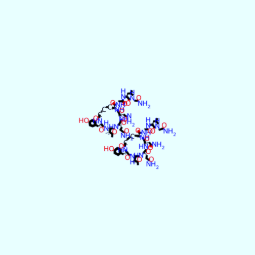 CC[C@H](C)[C@@H]1NC(=O)[C@H](Cc2ccc(O)cc2)NC(=O)CCCCC[C@@H](C(=O)NCC(=O)N[C@@H](CC(C)C)C(=O)NCC(N)=O)NC(=O)[C@H](CC(N)=O)NC(=O)[C@H](CCC(N)=O)NC1=O.CC[C@H](C)[C@@H]1NC(=O)[C@H](Cc2ccc(O)cc2)NC(=O)CCCCC[C@@H](C(=O)NCC(=O)N[C@@H](CC(C)C)C(=O)NCC(N)=O)NC(=O)[C@H](CC(N)=O)NC(=O)[C@H](CCC(N)=O)NC1=O